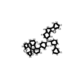 c1ccc(-c2cccc(N(c3ccc(-c4cccc5c4-c4ccccc4C54c5ccccc5Oc5ccccc54)cc3)c3ccc4ccc5c6ccccc6oc5c4c3)c2)cc1